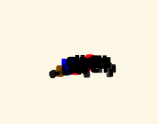 CC(C)(C)OC(=O)N1C[C@@H]2C(C(=O)NC(C)(C)c3ncc4c(SCC5CCC5)cccn34)[C@@H]2C1